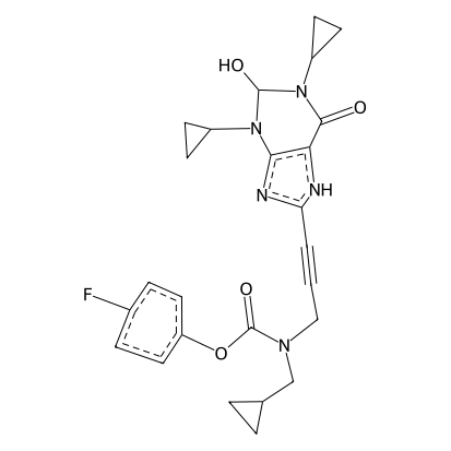 O=C(Oc1ccc(F)cc1)N(CC#Cc1nc2c([nH]1)C(=O)N(C1CC1)C(O)N2C1CC1)CC1CC1